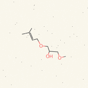 COCC(O)COCC=C(C)C